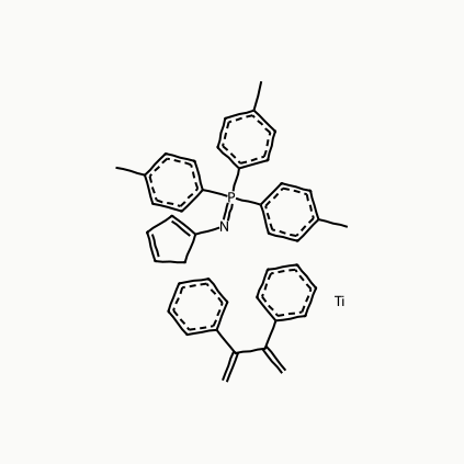 C=C(C(=C)c1ccccc1)c1ccccc1.Cc1ccc(P(=NC2=CC=CC2)(c2ccc(C)cc2)c2ccc(C)cc2)cc1.[Ti]